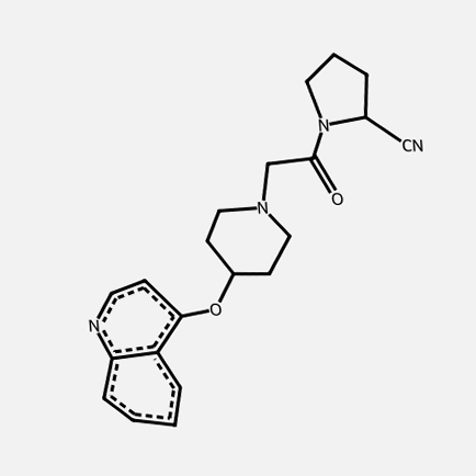 N#CC1CCCN1C(=O)CN1CCC(Oc2ccnc3ccccc23)CC1